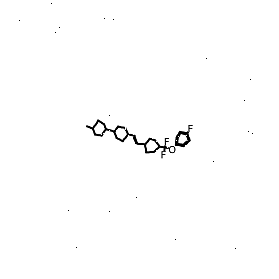 CC1CCC(C2CCC(/C=C/C3CCC(C(F)(F)Oc4ccc(F)cc4)CC3)CC2)CC1